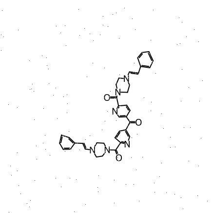 O=C(c1ccc(C(=O)N2CCN(C=Cc3ccccc3)CC2)nc1)c1ccc(C(=O)N2CCN(C=Cc3ccccc3)CC2)nc1